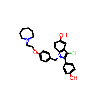 Oc1ccc(-c2c(Cl)c3cc(O)ccc3n2Cc2ccc(OCCN3CCCCCC3)cc2)cc1